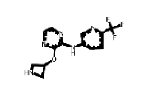 FC(F)(F)c1ccc(Nc2nccnc2OC2CNC2)cn1